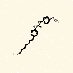 CCCCCCCCc1ccc(NC(=S)Nc2ccc(OC)cc2)cc1